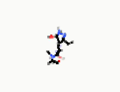 CCC1=NN(C)C(=O)/C1=C/C=C1/OC=C(C)N1C